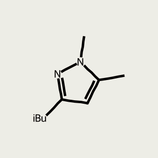 CCC(C)c1cc(C)n(C)n1